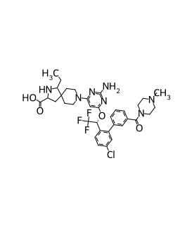 CCC1NC(C(=O)O)CC12CCN(c1cc(O[C@H](c3ccc(Cl)cc3-c3cccc(C(=O)N4CCN(C)CC4)c3)C(F)(F)F)nc(N)n1)CC2